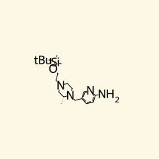 C[C@@H]1CN(CCO[Si](C)(C)C(C)(C)C)CCN1Cc1ccc(N)nc1